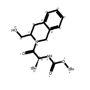 CC(C)(C)OC(=O)N[C@H](C(=O)N1Cc2ccccc2CC1CO)C(C)(C)C